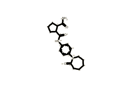 NC(=O)C1CCCC1C(=O)Nc1ccc(N2CCCCCC2=O)cc1